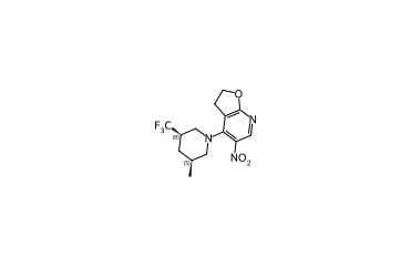 C[C@H]1C[C@@H](C(F)(F)F)CN(c2c([N+](=O)[O-])cnc3c2CCO3)C1